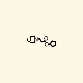 O=C(CCN1CCOCC1)OC1CCCC1